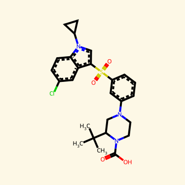 CC(C)(C)C1CN(c2cccc(S(=O)(=O)c3cn(C4CC4)c4ccc(Cl)cc34)c2)CCN1C(=O)O